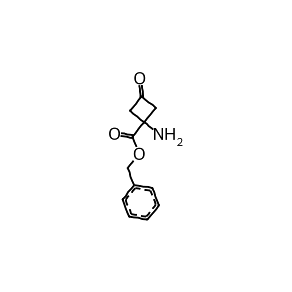 NC1(C(=O)OCc2ccccc2)CC(=O)C1